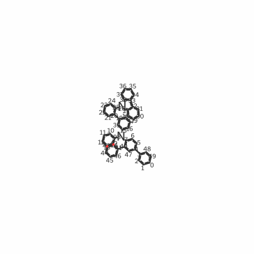 c1ccc(-c2ccc(N(c3ccccc3)c3cccc(-c4ccccc4-n4c5ccccc5c5ccccc54)c3)c(-c3ccccc3)c2)cc1